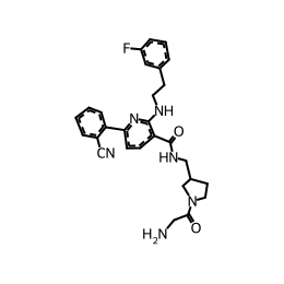 N#Cc1ccccc1-c1ccc(C(=O)NCC2CCN(C(=O)CN)C2)c(NCCc2cccc(F)c2)n1